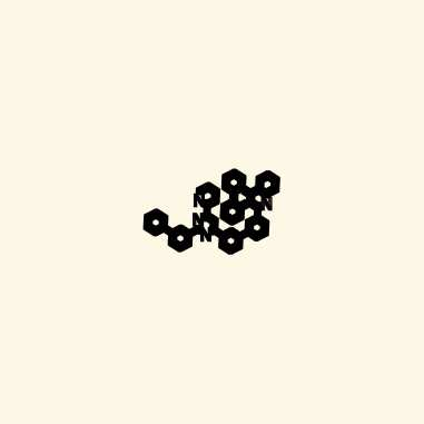 c1ccc(-c2cccc(-c3nc(-c4cccc(-c5cccc(-c6nc7ccccc7c7c8ccccc8c8ccccc8c67)c5)c4)cc(-c4ccccn4)n3)c2)cc1